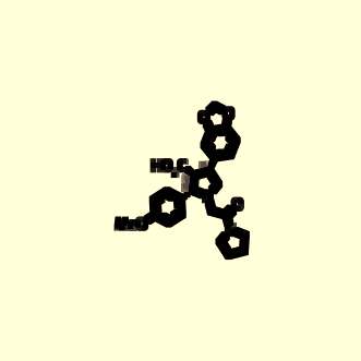 COc1ccc([C@@H]2[C@@H](C(=O)O)[C@@H](c3ccc4c(c3)OCO4)CN2CC(=O)N2CCCC2)cc1